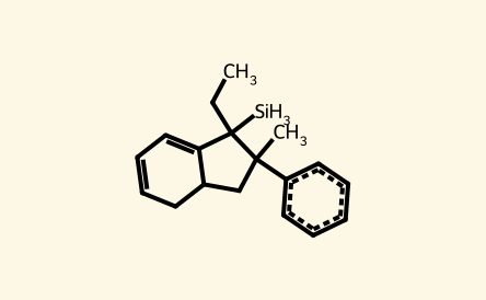 CCC1([SiH3])C2=CC=CCC2CC1(C)c1ccccc1